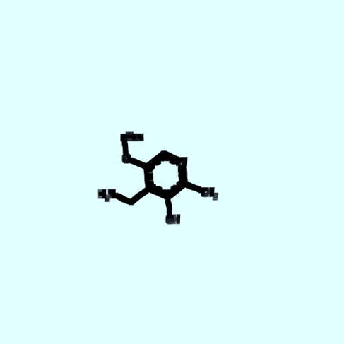 CCCCCCOc1cnc(C)c(O)c1CN